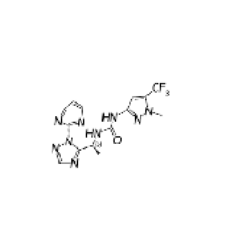 C[C@H](NC(=O)Nc1cc(C(F)(F)F)n(C)n1)c1ncnn1-c1ncccn1